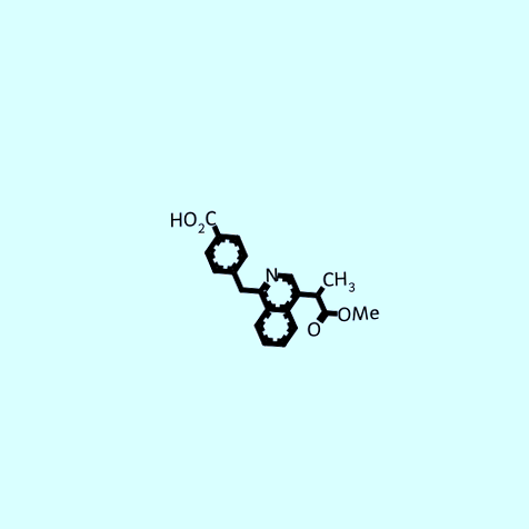 COC(=O)C(C)c1cnc(Cc2ccc(C(=O)O)cc2)c2ccccc12